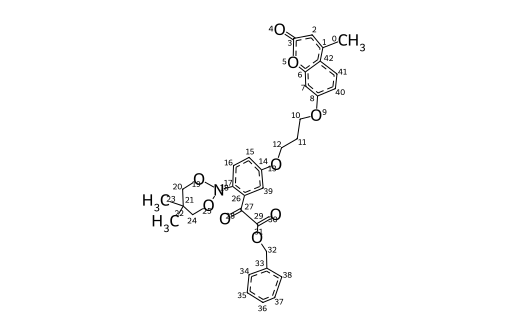 Cc1cc(=O)oc2cc(OCCCOc3ccc(N4OCC(C)(C)CO4)c(C(=O)C(=O)OCc4ccccc4)c3)ccc12